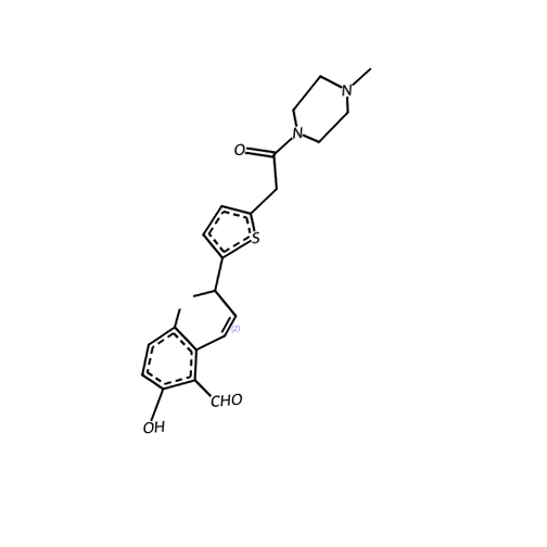 Cc1ccc(O)c(C=O)c1/C=C\C(C)c1ccc(CC(=O)N2CCN(C)CC2)s1